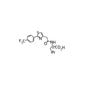 CC(C)C[C@@H](NC(=O)Cc1csc(-c2ccc(C(F)(F)F)cc2)n1)C(=O)O